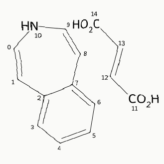 C1=Cc2ccccc2C=CN1.O=C(O)C=CC(=O)O